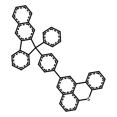 c1ccc(C2(c3ccc(-c4cc5c6c(cccc6c4)Sc4ccccc4-5)cc3)c3ccccc3-c3cc4ccccc4cc32)cc1